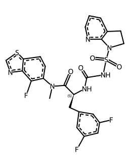 CN(C(=O)[C@H](Cc1cc(F)cc(F)c1)NC(=O)NS(=O)(=O)N1CCc2cccnc21)c1ccc2scnc2c1F